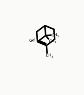 CC1=C2CC(CC1)C2(C)C.[Ge]